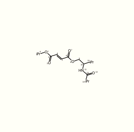 CC(C)OC(=O)/C=C/C(=O)OCC(NC(=O)C(C)C)C(C)C